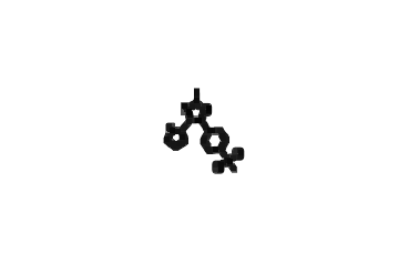 Cc1nc(-c2cccs2)c(-c2ccc(S(C)(=O)=O)cc2)o1